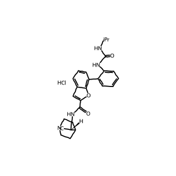 CC(C)NC(=O)Nc1ccccc1-c1cccc2cc(C(=O)N[C@H]3CN4CCC3CC4)oc12.Cl